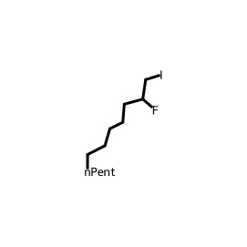 CCCCCCCCCCC(F)CI